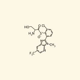 Cn1c(-c2cccc(Cl)c2[S+]([O-])C(=O)C(N)CO)nc2cc(C(F)(F)F)cnc21